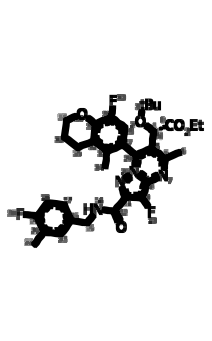 CCOC(=O)[C@@H](OC(C)(C)C)c1c(C)nc2c(F)c(C(=O)NCc3ccc(F)c(C)c3)nn2c1-c1cc(F)c2c(c1C)CCCO2